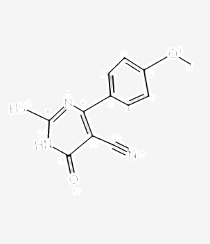 COc1ccc(-c2nc(S)[nH]c(=O)c2C#N)cc1